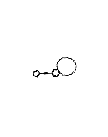 C(#Cc1ccc2c(c1)OCCOCCOCCOCCO2)C1=CCC=C1